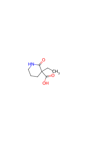 CCC1(C(=O)O)CCCNC1=O